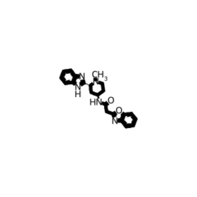 CN1CC[C@@H](NC(=O)Cc2nc3ccccc3o2)C[C@@H]1c1nc2ccccc2[nH]1